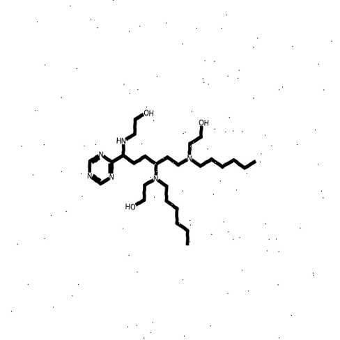 CCCCCCN(CCO)CCC(CCC(NCCO)c1ncncn1)N(CCO)CCCCCC